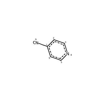 [C-]#[N+]c1ccncc1